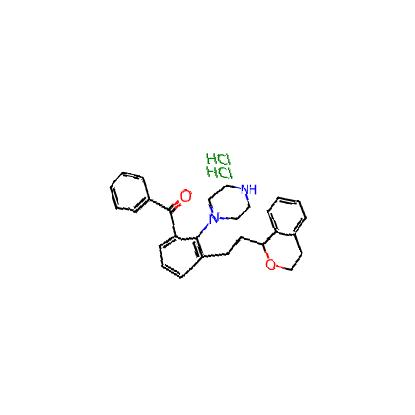 Cl.Cl.O=C(c1ccccc1)c1cccc(CCC2OCCc3ccccc32)c1N1CCNCC1